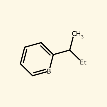 CCC(C)c1bcccc1